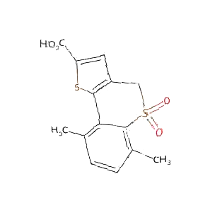 Cc1ccc(C)c2c1-c1sc(C(=O)O)cc1CS2(=O)=O